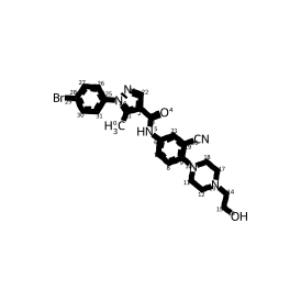 Cc1c(C(=O)Nc2ccc(N3CCN(CCO)CC3)c(C#N)c2)cnn1-c1ccc(Br)cc1